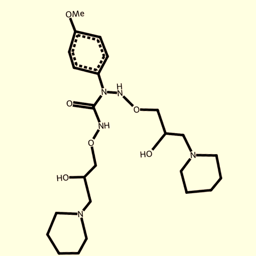 COc1ccc(N(NOCC(O)CN2CCCCC2)C(=O)NOCC(O)CN2CCCCC2)cc1